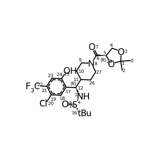 CC1(C)OC[C@H](C(=O)N2CCC([C@@H](N[S+]([O-])C(C)(C)C)c3cc(Cl)c(C(F)(F)F)cc3O)CC2)O1